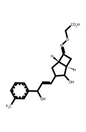 O=C(O)CON=C1C[C@H]2C(O)C(C=CC(O)c3cccc(C(F)(F)F)c3)C[C@H]12